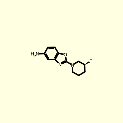 Nc1ccc2oc(N3CCC[C@H](F)C3)nc2c1